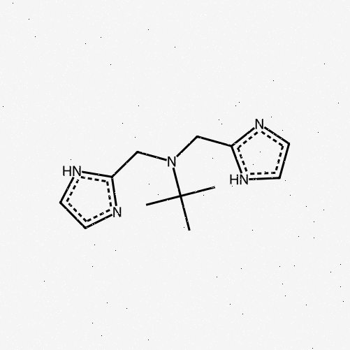 CC(C)(C)N(Cc1ncc[nH]1)Cc1ncc[nH]1